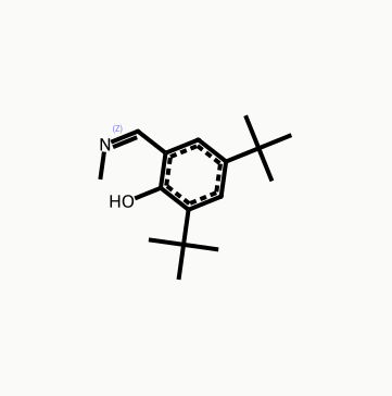 C/N=C\c1cc(C(C)(C)C)cc(C(C)(C)C)c1O